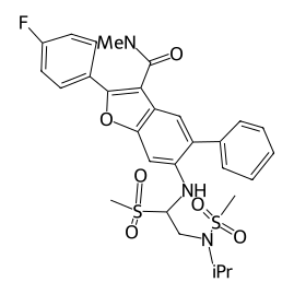 CNC(=O)c1c(-c2ccc(F)cc2)oc2cc(NC(CN(C(C)C)S(C)(=O)=O)S(C)(=O)=O)c(-c3ccccc3)cc12